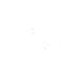 CC(C)c1cc(C(C)CCC(C)c2ccn(C(C)C)n2)n[nH]1